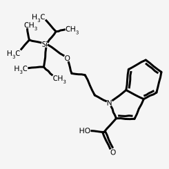 CC(C)[Si](OCCCn1c(C(=O)O)cc2ccccc21)(C(C)C)C(C)C